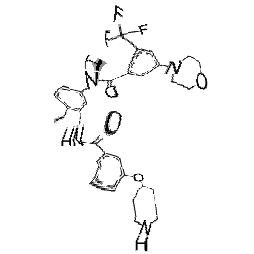 Cc1ccc(NC(=O)c2cc(N3CCOCC3)cc(C(F)(F)F)c2)cc1NC(=O)c1cccc(OC2CCNCC2)c1